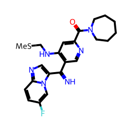 CSCNc1cc(C(=O)N2CCCCCC2)ncc1C(=N)c1cnc2ccc(F)cn12